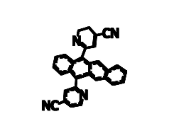 N#CC1=CC(c2c3ccccc3c(-c3cc(C#N)ccn3)c3cc4ccccc4cc23)=NCC1